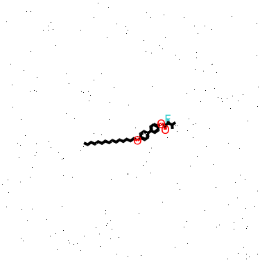 CCCCCCCCCCCCCCCOc1ccc(-c2ccc(OC(=O)C(F)C(C)C)cc2)cc1